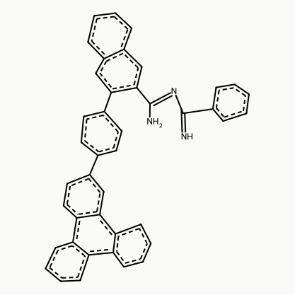 N=C(/N=C(\N)c1cc2ccccc2cc1-c1ccc(-c2ccc3c4ccccc4c4ccccc4c3c2)cc1)c1ccccc1